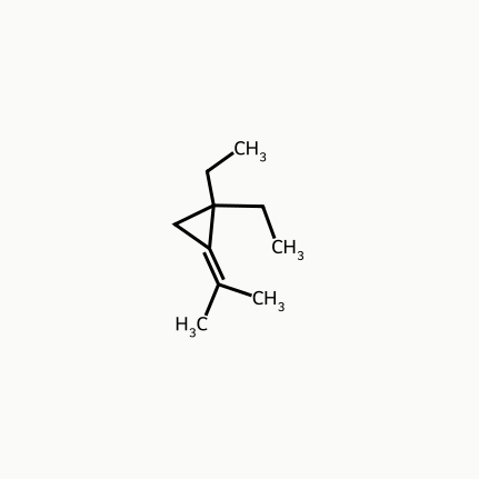 CCC1(CC)CC1=C(C)C